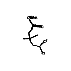 COC(=O)CC(C)(C)CC(Cl)Cl